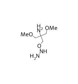 COCC(N)(COC)CONN